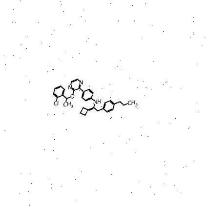 CCCc1ccc(CC(Nc2ccc(-c3nccnc3OC(C)c3ccccc3Cl)cc2)=C2CCC2)cc1